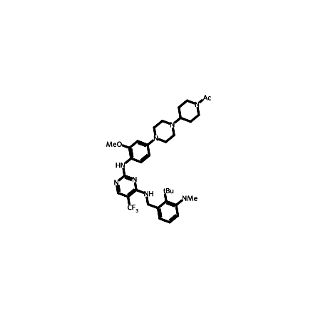 CNc1cccc(CNc2nc(Nc3ccc(N4CCN(C5CCN(C(C)=O)CC5)CC4)cc3OC)ncc2C(F)(F)F)c1C(C)(C)C